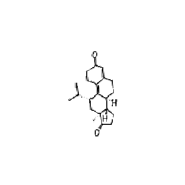 CC(I)[C@H]1C[C@]2(C)C(=O)CC[C@H]2[C@@H]2CCC3=CC(=O)CCC3=C21